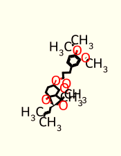 COc1cc(CCC(=O)O[C@@H]2CCC3(CO3)C(C3(C)O[C@H]3CC=C(C)C)[C@@H]2OC)ccc1OC(C)C